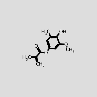 C=C(C)C(=O)Oc1cc(C)c(O)c(OC)c1